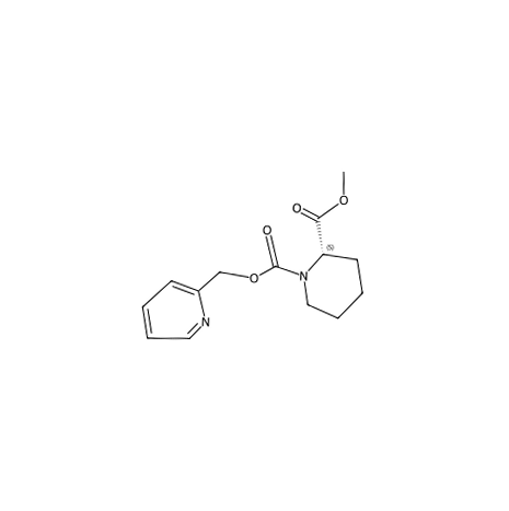 COC(=O)[C@@H]1CCCCN1C(=O)OCc1ccccn1